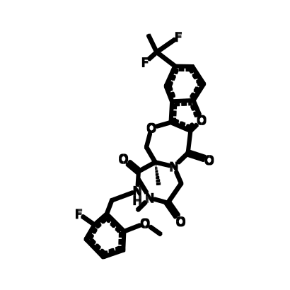 COc1cccc(F)c1CNC(=O)[C@@]1(C)COc2c(oc3ccc(C(C)(F)F)cc23)C(=O)N1CC(=O)N(C)C